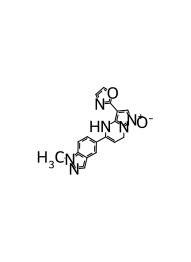 Cn1ncc2cc(C3=CCn4c(c(-c5ncco5)c[n+]4[O-])N3)ccc21